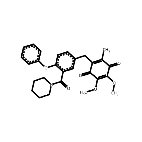 COC1=C(OC)C(=O)C(Cc2ccc(Oc3ccccc3)c(C(=O)N3CCCCC3)c2)=C(C)C1=O